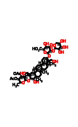 CC(=O)O[C@@H]1[C@H](OC(C)=O)[C@@H](O[C@H]2[C@@H](O)[C@]3(C)CC[C@]4(C)C(=CC[C@@H]5[C@@]6(C)CC[C@H](O[C@@H]7O[C@H](C(=O)O)[C@@H](O)[C@H](O)[C@H]7O[C@@H]7OC[C@@H](O)[C@H](O)[C@H]7O)[C@@](C)(CO)[C@@H]6CC[C@]54C)[C@@H]3C[C@]2(C)CO)O[C@H](C)[C@H]1OC(C)=O